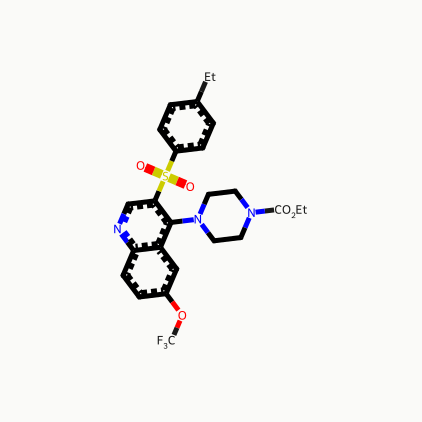 CCOC(=O)N1CCN(c2c(S(=O)(=O)c3ccc(CC)cc3)cnc3ccc(OC(F)(F)F)cc23)CC1